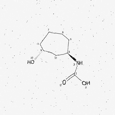 O=C(O)N[C@@H]1CCCC[C@@H](O)C1